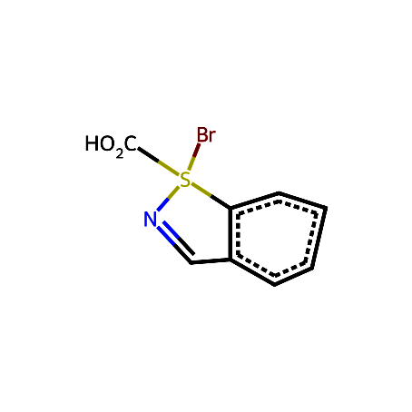 O=C(O)S1(Br)N=Cc2ccccc21